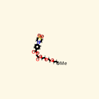 COCCOCCOCCOC(=O)COC(=O)c1ccc(N2CCS(=O)(=O)CC2)cc1